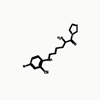 N#Cc1cc(Br)ccc1NCCCCC(N)C(=O)N1CCSC1